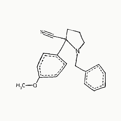 COc1ccc(C2(C#N)CCCN2Cc2ccccc2)cc1